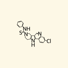 S=C(Nc1ccccc1)N1CCc2[nH]c3c(cnc4cc(Cl)ccc43)c2C1